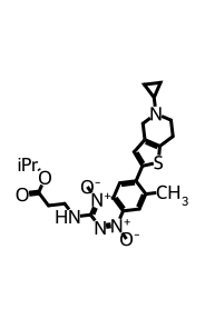 Cc1cc2c(cc1-c1cc3c(s1)CCN(C1CC1)C3)[n+]([O-])c(NCCC(=O)OC(C)C)n[n+]2[O-]